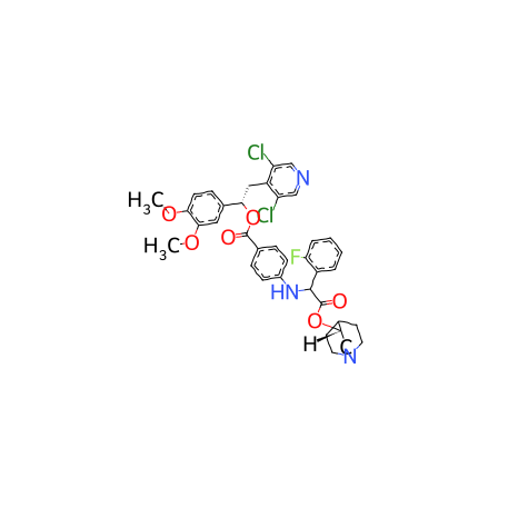 COc1ccc([C@H](Cc2c(Cl)cncc2Cl)OC(=O)c2ccc(NC(C(=O)O[C@H]3CN4CCC3CC4)c3ccccc3F)cc2)cc1OC